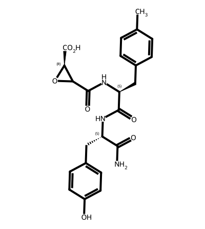 Cc1ccc(C[C@H](NC(=O)C2O[C@H]2C(=O)O)C(=O)N[C@@H](Cc2ccc(O)cc2)C(N)=O)cc1